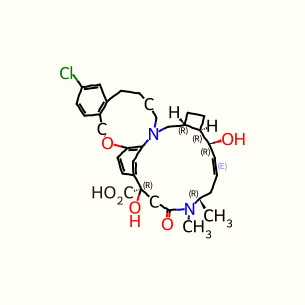 C[C@@H]1C/C=C/[C@H](O)[C@@H]2CC[C@H]2CN2CCCCc3cc(Cl)ccc3COc3ccc(cc32)[C@@](O)(C(=O)O)CC(=O)N1C